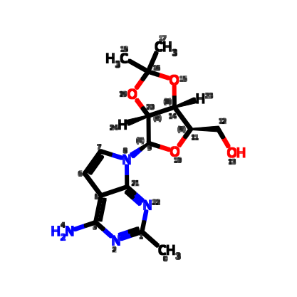 Cc1nc(N)c2ccn([C@@H]3O[C@H](CO)[C@H]4OC(C)(C)O[C@H]43)c2n1